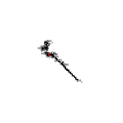 CCCCCCCCCCCC=CC=CC=CC(O)=CC(=O)SCCNC(=O)CCNC(=O)[C@H](O)C(C)(C)COP(=O)(O)OP(=O)(O)OC[C@H]1O[C@@H](n2cnc3c(N)ncnc32)[C@H](O)[C@@H]1OP(=O)(O)O